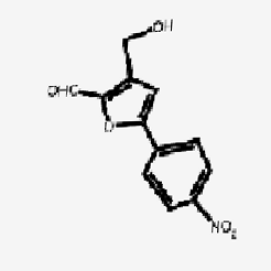 O=Cc1oc(-c2ccc([N+](=O)[O-])cc2)cc1CO